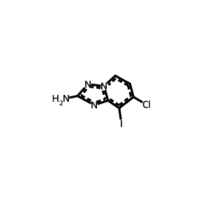 Nc1nc2c(I)c(Cl)ccn2n1